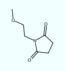 COCCN1C(=O)CCC1=O